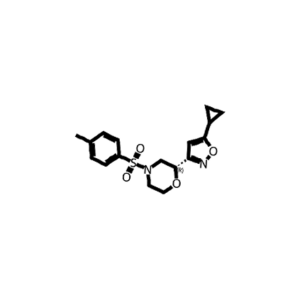 Cc1ccc(S(=O)(=O)N2CCO[C@@H](c3cc(C4CC4)on3)C2)cc1